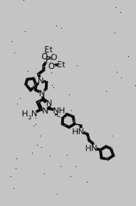 CCOP(=O)(CCCN1CCN(c2cc(N)nc(NC[C@H]3CC[C@H](CNCCCNC4CCCCC4)CC3)n2)CC12CCCC2)OCC